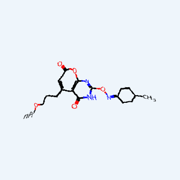 CCCOCCCc1cc(=O)oc2nc(ON=C3CCC(C)CC3)[nH]c(=O)c12